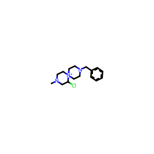 CN1CC[N+]2(CCN(Cc3ccccc3)CC2)C(Cl)C1